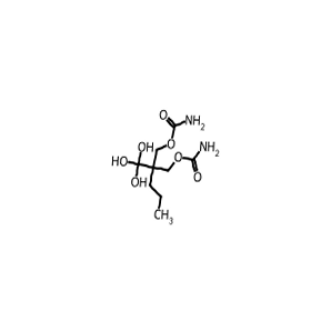 CCCC(COC(N)=O)(COC(N)=O)C(O)(O)O